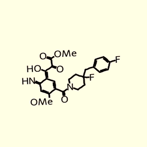 COC(=O)C(=O)/C(O)=C1\C=C(C(=O)N2CCC(F)(Cc3ccc(F)cc3)CC2)C(OC)=CC1=N